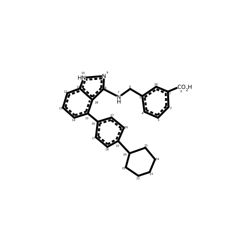 O=C(O)c1cccc(CNc2n[nH]c3cccc(-c4ccc(C5CCCCC5)cc4)c23)c1